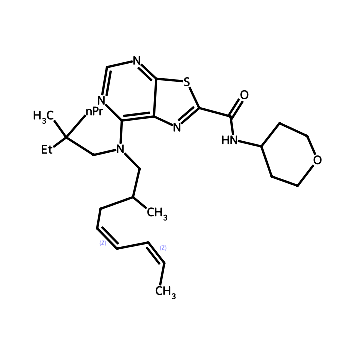 C/C=C\C=C/CC(C)CN(CC(C)(CC)CCC)c1ncnc2sc(C(=O)NC3CCOCC3)nc12